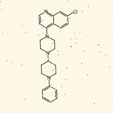 Clc1ccc2c(N3CCN(C4CCN(c5ccccc5)CC4)CC3)ccnc2c1